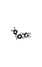 O=c1nc(Oc2ccc(Oc3ccc(F)c(F)c3)c(F)c2)c(Cl)c[nH]1